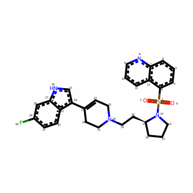 O=S(=O)(c1cccc2ncccc12)N1CCC[C@H]1CCN1CC=C(c2c[nH]c3cc(F)ccc23)CC1